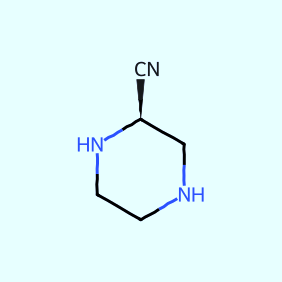 N#C[C@H]1CNCCN1